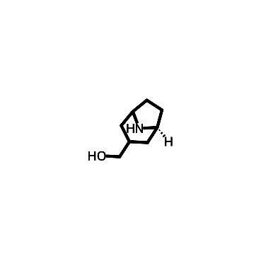 OCC1CC2CC[C@@H](C1)N2